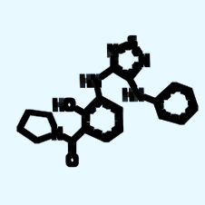 O=C(c1cccc(Nc2nsnc2Nc2ccccc2)c1O)N1CCCC1